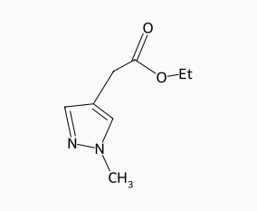 CCOC(=O)Cc1cnn(C)c1